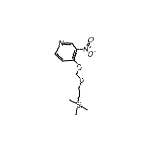 C[Si](C)(C)CCOCOc1ccncc1[N+](=O)[O-]